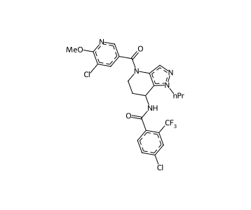 CCCn1ncc2c1C(NC(=O)c1ccc(Cl)cc1C(F)(F)F)CCN2C(=O)c1cnc(OC)c(Cl)c1